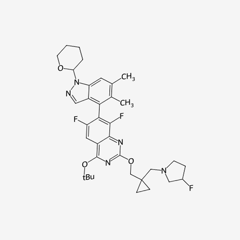 Cc1cc2c(cnn2C2CCCCO2)c(-c2c(F)cc3c(OC(C)(C)C)nc(OCC4(CN5CCC(F)C5)CC4)nc3c2F)c1C